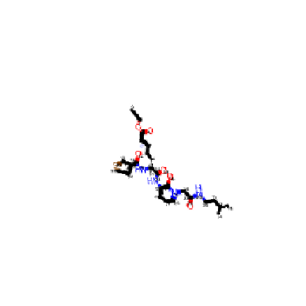 CCOC(=O)/C=C/CC[C@H](NC(=O)c1ccsc1)C(=O)Nc1cccn(CC(=O)NCCC(C)C)c1=O